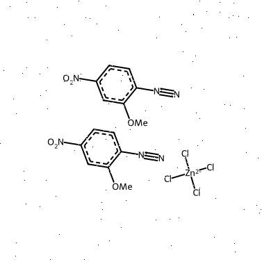 COc1cc([N+](=O)[O-])ccc1[N+]#N.COc1cc([N+](=O)[O-])ccc1[N+]#N.[Cl][Zn-2]([Cl])([Cl])[Cl]